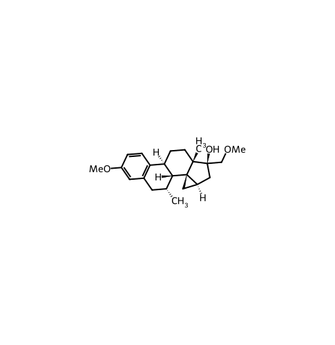 COC[C@]1(O)C[C@H]2C[C@]23[C@@H]2[C@H](C)Cc4cc(OC)ccc4[C@H]2CC[C@]13C